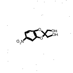 O=[N+]([O-])c1ccc2c(c1)OC(CO)(CO)O2